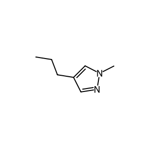 CCCc1cnn(C)c1